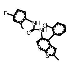 Cc1cc2c(-c3ccccc3Cl)c(NC(=O)Nc3ccc(F)cc3F)cnc2s1